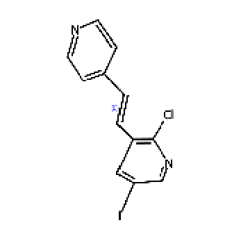 Clc1ncc(I)cc1/C=C/c1ccncc1